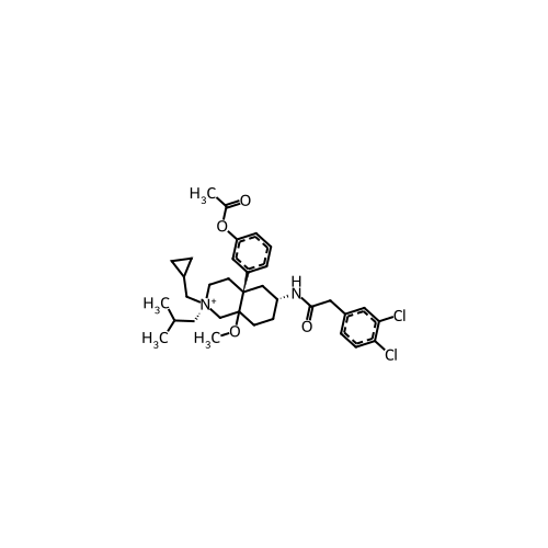 COC12CC[C@@H](NC(=O)Cc3ccc(Cl)c(Cl)c3)C[C@@]1(c1cccc(OC(C)=O)c1)CC[N@+](CC(C)C)(CC1CC1)C2